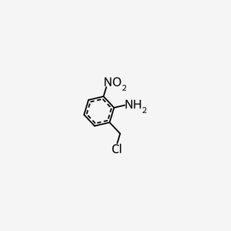 Nc1c(CCl)cccc1[N+](=O)[O-]